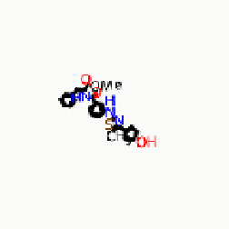 COC(=O)C(Cc1ccccc1)NC(=O)c1cccc(Nc2nc(-c3ccc(O)cc3)c(C)s2)c1